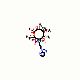 CC[C@H]1OC(=O)[C@H](C)C(=O)[C@H](C)[C@@H](C)[C@](C)(OC)C[C@@H](C)C(=O)[C@H](C)[C@H]2N(CCCCn3cnc4cccnc43)C(=O)O[C@]12C